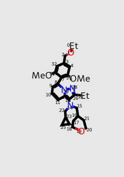 CCOCc1cc(OC)c(-c2cccc3c(N(CC4CCOCC4)CC4CC4)c(CC)nn23)c(OC)c1